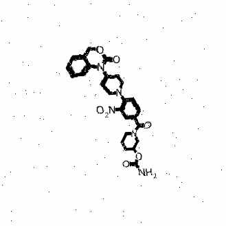 NC(=O)OC1CCCN(C(=O)c2ccc(N3CCC(N4C(=O)OCc5ccccc54)CC3)c([N+](=O)[O-])c2)C1